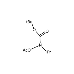 CC(=O)ON(C(=O)OC(C)(C)C)C(C)C